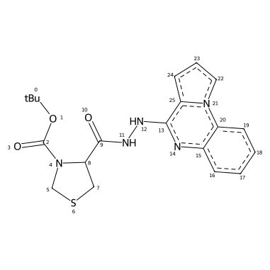 CC(C)(C)OC(=O)N1CSCC1C(=O)NNc1nc2ccccc2n2cccc12